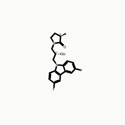 C[C@@H]1CCN(C[C@H](O)Cn2c3ccc(F)cc3c3cc(F)ccc32)C1=O